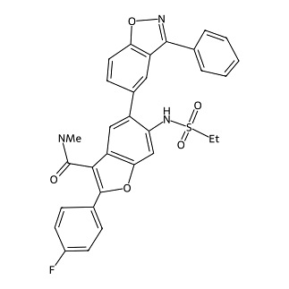 CCS(=O)(=O)Nc1cc2oc(-c3ccc(F)cc3)c(C(=O)NC)c2cc1-c1ccc2onc(-c3ccccc3)c2c1